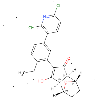 CCc1ccc(-c2ccc(Cl)nc2Cl)cc1C1=C(O)[C@H]2[C@@H](C1=O)[C@@H]1CC[C@H]2O1